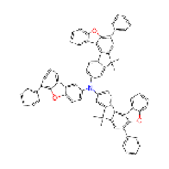 CC1(C)c2cc(N(c3ccc4c(c3)C(C)(C)c3cc(-c5ccccc5)c5oc6ccccc6c5c3-4)c3ccc4oc5c(-c6ccccc6)cccc5c4c3)ccc2-c2c1cc(-c1ccccc1)c1oc3ccccc3c21